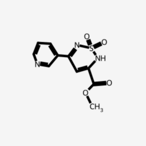 COC(=O)C1=CC(c2cccnc2)=NS(=O)(=O)N1